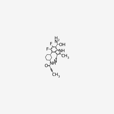 CC#CC(=O)NC1CCC[C@@H](c2c(F)c(F)c(C(N)O)c3[nH]c(C)c(C#N)c23)C1